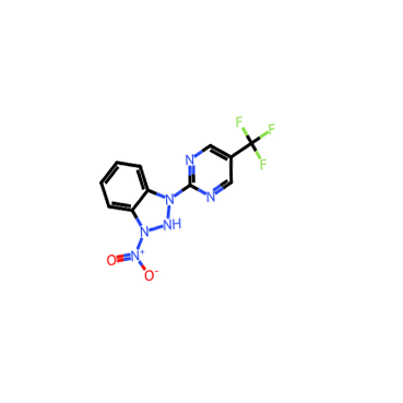 O=[N+]([O-])N1NN(c2ncc(C(F)(F)F)cn2)c2ccccc21